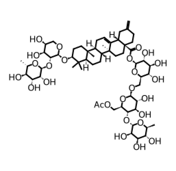 C=C1CC[C@]2(C(=O)O[C@@H]3O[C@H](CO[C@@H]4O[C@H](COC(C)=O)[C@@H](O[C@@H]5O[C@@H](C)[C@H](O)[C@@H](O)[C@H]5O)[C@H](O)[C@H]4O)[C@@H](O)[C@H](O)[C@H]3O)CC[C@]3(C)C(=CC[C@H]4[C@H]3CC[C@H]3C(C)(C)[C@@H](O[C@@H]5OC[C@H](O)[C@H](O)[C@H]5O[C@@H]5O[C@@H](C)[C@H](O)[C@@H](O)[C@H]5O)CC[C@]43C)[C@@H]2C1